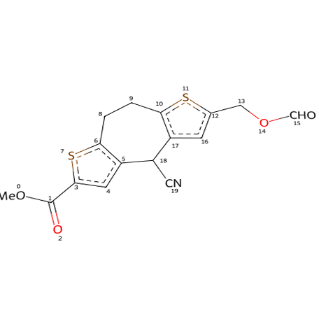 COC(=O)c1cc2c(s1)CCc1sc(COC=O)cc1C2C#N